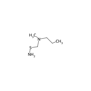 CCCN(C)CSN